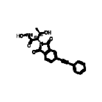 C[C@@H](O)[C@@H](C(=O)NO)N1C(=O)c2ccc(C#Cc3ccccc3)cc2C1=O